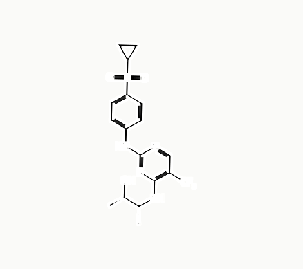 C[C@@H](O)[C@@H](C)Nc1nc(Nc2ccc(S(=O)(=O)C3CC3)cc2)ncc1C(F)(F)F